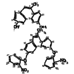 CC(=Cc1ccc(O)cc1)c1ccc(O)cc1.CC(=Cc1ccc(Oc2ccccc2[N+](=O)[O-])cc1)c1ccc(Oc2ccccc2[N+](=O)[O-])cc1